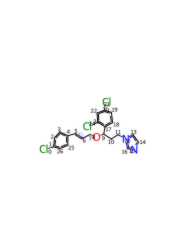 Clc1ccc(/C=C/COC(CCn2ccnc2)c2ccc(Cl)cc2Cl)cc1